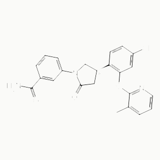 Cc1cccnc1Oc1cc(Cl)ccc1[C@H]1CC(=O)N(c2cccc(C(N)=O)c2)C1